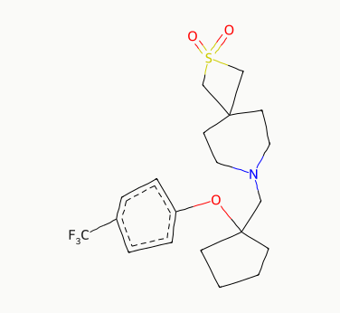 O=S1(=O)CC2(CCN(CC3(Oc4ccc(C(F)(F)F)cc4)CCCC3)CC2)C1